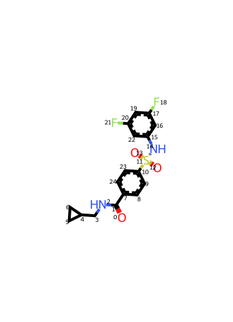 O=C(NCC1CC1)c1ccc(S(=O)(=O)Nc2cc(F)cc(F)c2)cc1